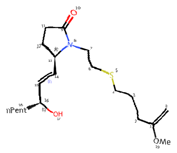 C=C(CCCSCCN1C(=O)CC[C@@H]1/C=C/[C@@H](O)CCCCC)OC